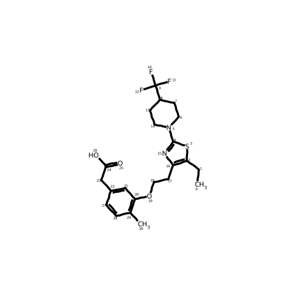 CCc1sc(N2CCC(C(F)(F)F)CC2)nc1CCOc1cc(CC(=O)O)ccc1C